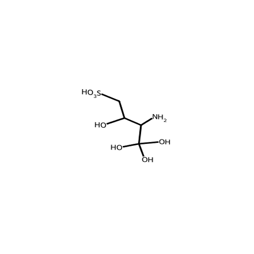 NC(C(O)CS(=O)(=O)O)C(O)(O)O